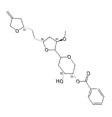 C=C1CO[C@@H](CC[C@@H]2C[C@@H](OC)C(C3C[C@@H](O)[C@@H](OC(=O)c4ccccc4)CO3)O2)C1